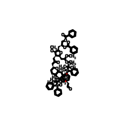 COC(C[C@@H]1O[C@H](C[C@H](COC(=O)c2ccccc2)OC(=O)c2ccccc2)[C@H](OC)[C@H]1CC(=O)C[C@H]1CC[C@@H]2O[C@@H]3[C@@H](O[C@H](CC=O)[C@@H]3O[Si](c3ccccc3)(c3ccccc3)C(C)(C)C)[C@@H](O[Si](c3ccccc3)(c3ccccc3)C(C)(C)C)[C@H]2O1)OC